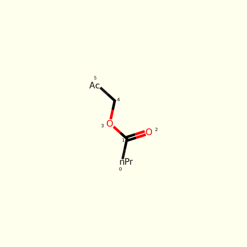 [CH2]CCC(=O)OCC(C)=O